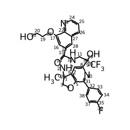 C[C@@]1(N)COc2c1cc([C@](O)(CNC(=O)c1cc(OCCO)c3ncccc3c1)C(F)(F)F)nc2-c1ccc(F)cc1